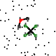 CCOCC.Cl[Si](Cl)(Cl)Cl